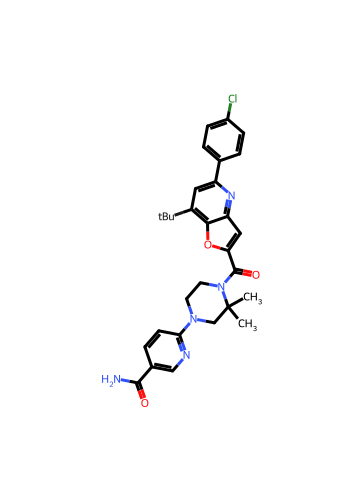 CC(C)(C)c1cc(-c2ccc(Cl)cc2)nc2cc(C(=O)N3CCN(c4ccc(C(N)=O)cn4)CC3(C)C)oc12